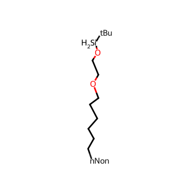 CCCCCCCCCCCCCCCOCCO[SiH2]C(C)(C)C